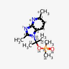 Cc1ccc2c(n1)nc(C)n2C(C)(C)OP(C)(C)=O